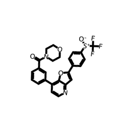 O=C(c1cccc(-c2ccnc3cc(-c4ccc([S+]([O-])C(F)(F)F)cc4)oc23)c1)N1CCOCC1